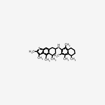 Cc1sc2cc3c(c(C)c2c1C)C(C)CC(Nc1c(C)c(C)c2c(c1C)CCCC2C)C3